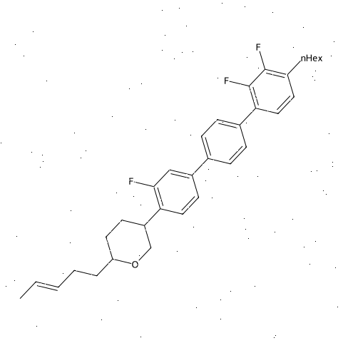 C/C=C/CCC1CCC(c2ccc(-c3ccc(-c4ccc(CCCCCC)c(F)c4F)cc3)cc2F)CO1